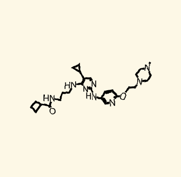 CN1CCN(CCOc2ccc(Nc3ncc(C4CC4)c(NCCCNC(=O)C4CCC4)n3)cn2)CC1